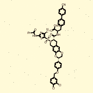 COC(=O)C(Cc1ccc(-c2ccc(C#N)cc2)cc1)NC(=O)[C@@H]1Cc2cc3c(cc2CN1S(=O)(=O)c1sc(NC(=O)C(C)C)nc1C)O[C@@H](c1ccc(OCc2ccc(Cl)c(Cl)c2)cc1)CO3